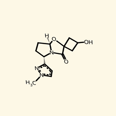 Cn1ccc([C@@H]2CC[C@H]3OC4(CC(O)C4)C(=O)N32)n1